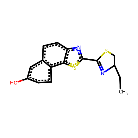 CCC1CSC(c2nc3ccc4cc(O)ccc4c3s2)=N1